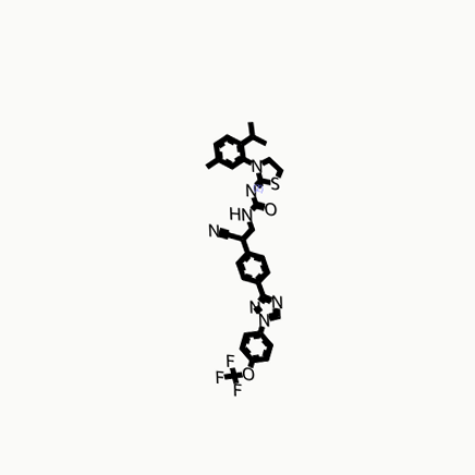 Cc1ccc(C(C)C)c(N2CCS/C2=N\C(=O)NCC(C#N)c2ccc(-c3ncn(-c4ccc(OC(F)(F)F)cc4)n3)cc2)c1